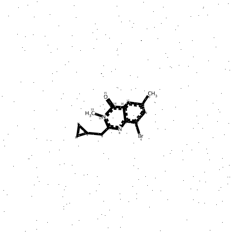 Cc1cc(Br)c2nc(CC3CC3)n(C)c(=O)c2c1